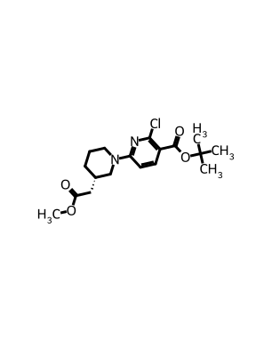 COC(=O)C[C@@H]1CCCN(c2ccc(C(=O)OC(C)(C)C)c(Cl)n2)C1